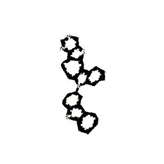 c1ccc2c(c1)sc1ccc(-n3c4ccccc4c4c5sc6cncnc6c5ccc43)cc12